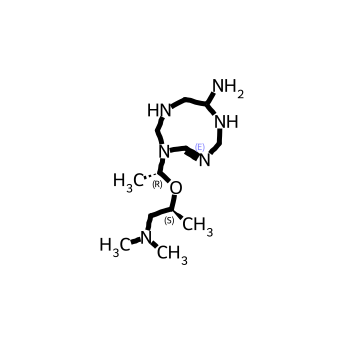 C[C@@H](CN(C)C)O[C@H](C)N1/C=N/CNC(N)CNC1